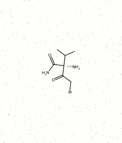 CC(C)[C@](N)(C(N)=O)C(=O)CBr